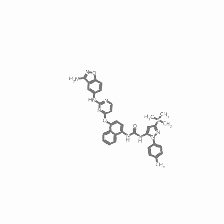 Cc1ccc(-n2nc(S(C)(C)C)cc2NC(=O)Nc2ccc(Oc3ccnc(Nc4ccc5onc(N)c5c4)n3)c3ccccc23)cc1